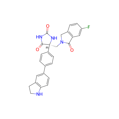 O=C1NC(=O)[C@](CN2Cc3ccc(F)cc3C2=O)(c2ccc(-c3ccc4c(c3)CCN4)cc2)N1